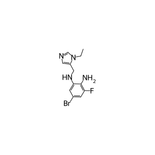 CCn1cncc1CNc1cc(Br)cc(F)c1N